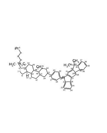 CC(C)CCC[C@@H](C)[C@H]1CCC2[C@@H]3CCC4CC(c5ccc(-n6c7ccccc7c7cc8c(cc76)C(C)(C)c6ccccc6-8)cc5)CC[C@]4(C)C3CC[C@@]21C